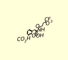 O=C(CCC(=O)C(F)(F)F)N[C@H]1Cc2cccc(C(=O)O)c2OB1O